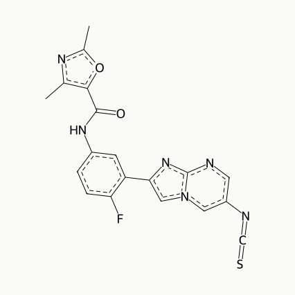 Cc1nc(C)c(C(=O)Nc2ccc(F)c(-c3cn4cc(N=C=S)cnc4n3)c2)o1